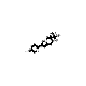 [2H]C([2H])([2H])C1(C#N)CCc2cc(-c3ccc(F)cn3)nn2C1